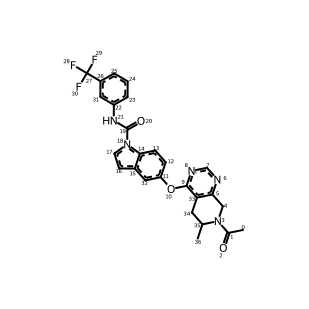 CC(=O)N1Cc2ncnc(Oc3ccc4c(ccn4C(=O)Nc4cccc(C(F)(F)F)c4)c3)c2CC1C